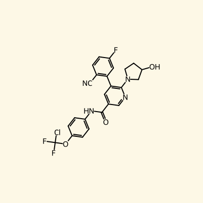 N#Cc1ccc(F)cc1-c1cc(C(=O)Nc2ccc(OC(F)(F)Cl)cc2)cnc1N1CCC(O)C1